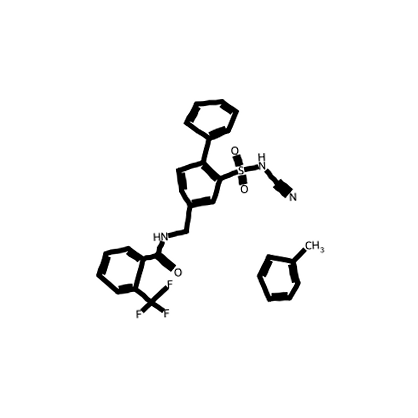 Cc1ccccc1.N#CNS(=O)(=O)c1cc(CNC(=O)c2ccccc2C(F)(F)F)ccc1-c1ccccc1